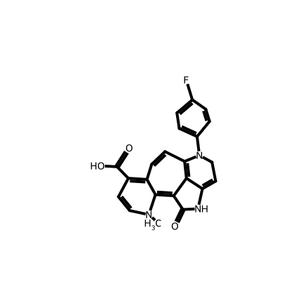 CN1C=CC(C(=O)O)=c2ccc3c4c([nH]c(=O)c-4c21)=CCN3c1ccc(F)cc1